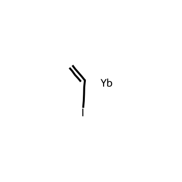 C=CI.[Yb]